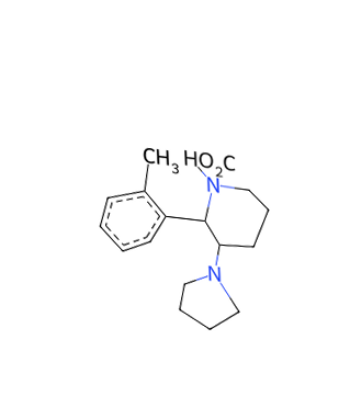 Cc1ccccc1C1C(N2CCCC2)CCCN1C(=O)O